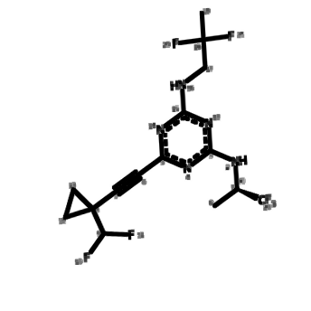 C[C@@H](Nc1nc(C#CC2(C(F)F)CC2)nc(NCC(C)(F)F)n1)C(F)(F)F